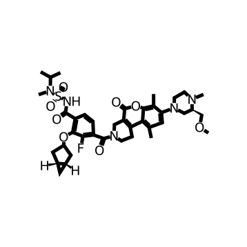 COC[C@H]1CN(c2cc(C)c3c4c(c(=O)oc3c2C)CN(C(=O)c2ccc(C(=O)NS(=O)(=O)N(C)C(C)C)c(OC3C[C@@H]5C[C@@H]5C3)c2F)CC4)CCN1C